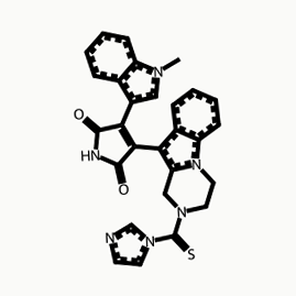 Cn1cc(C2=C(c3c4n(c5ccccc35)CCN(C(=S)n3ccnc3)C4)C(=O)NC2=O)c2ccccc21